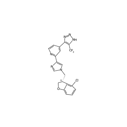 FC(F)(F)c1[nH]nnc1-c1ccnc(-c2cn(C[C@H]3COc4cccc(Cl)c43)cn2)c1